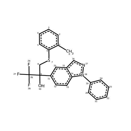 Cc1ccccc1SCC(O)(c1ccc2c(cnn2-c2ccccc2)c1)C(F)(F)F